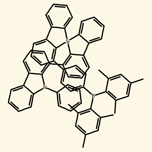 Cc1cc(C)c(B(c2ccc(-c3cccc4c3[Si]3(c5ccccc5-4)c4ccccc4-c4cccc(-c5cccc6c7ccccc7n(-c7ccccc7)c56)c43)cc2)c2c(C)cc(C)cc2C)c(C)c1